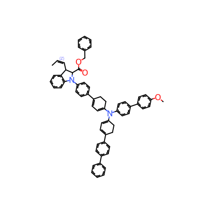 C/C=C\C1c2ccccc2N(c2ccc(C3=CC=C(N(C4=CC=C(c5ccc(-c6ccccc6)cc5)CC4)c4ccc(-c5ccc(OC)cc5)cc4)CC3)cc2)C1C(=O)OCc1ccccc1